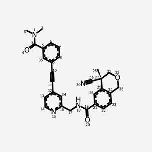 CN(C)C(=O)c1cccc(C#Cc2ccnc(CNC(=O)c3ccc4c(c3)[C@](C)(C#N)COC4)c2)c1